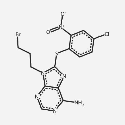 Nc1ncnc2c1nc(Sc1ccc(Cl)cc1[N+](=O)[O-])n2CCCBr